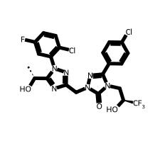 C[C@@H](O)c1nc(Cn2nc(-c3ccc(Cl)cc3)n(C[C@H](O)C(F)(F)F)c2=O)nn1-c1cc(F)ccc1Cl